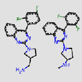 CNC1CCN(c2nc(-c3c(F)cccc3F)c3ccccc3n2)C1.NCC1CCN(c2nc(-c3ccc(F)cc3F)c3ccccc3n2)C1